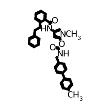 Cc1ccc(-c2ccc(CNC(=O)Oc3cc(NC(=O)c4ccccc4CCc4ccccc4)cn3C)cc2)cc1